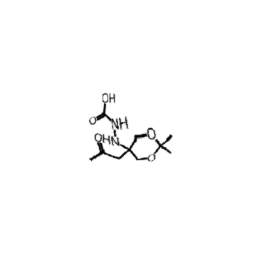 CC(=O)CC1(NNC(=O)O)COC(C)(C)OC1